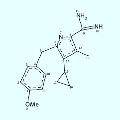 COc1ccc(Cn2nc(C(=N)N)c(C)c2C2CC2)cc1